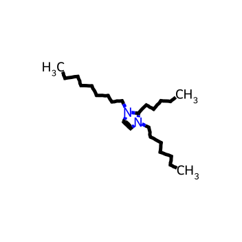 CCCCCCCCCN1C=CN(CCCCCCC)C1CCCCC